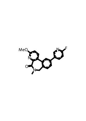 COc1ccc2c(n1)C(=O)N(C)Cc1ccc(-c3ccc(F)nc3)cc1-2